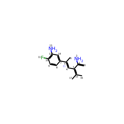 C=C(N)C(/C=C(\C)c1ccc(F)c(N)c1)=C(C)C